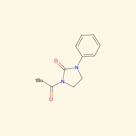 CC(C)(C)C(=O)N1CCN(c2ccccc2)C1=O